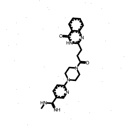 CNC(=N)c1ccc(N2CCN(C(=O)CCc3nc4ccccc4c(=O)[nH]3)CC2)nc1